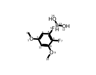 COc1cc(F)c(F)c(OC)c1.OBO